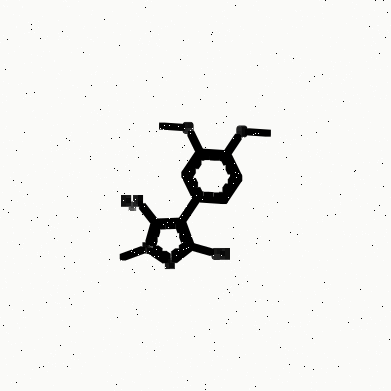 COc1ccc(-c2c(O)nn(C)c2N)cc1OC